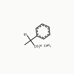 CCC(C)(C(=O)O)c1ccccc1.[CaH2]